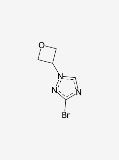 Brc1ncn(C2COC2)n1